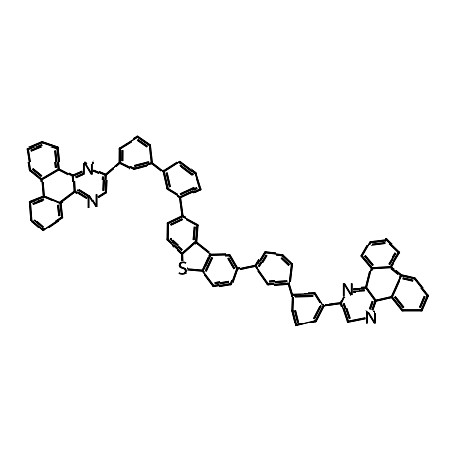 c1cc(-c2cccc(-c3cnc4c5ccccc5c5ccccc5c4n3)c2)cc(-c2ccc3sc4ccc(-c5cccc(-c6cccc(-c7cnc8c9ccccc9c9ccccc9c8n7)c6)c5)cc4c3c2)c1